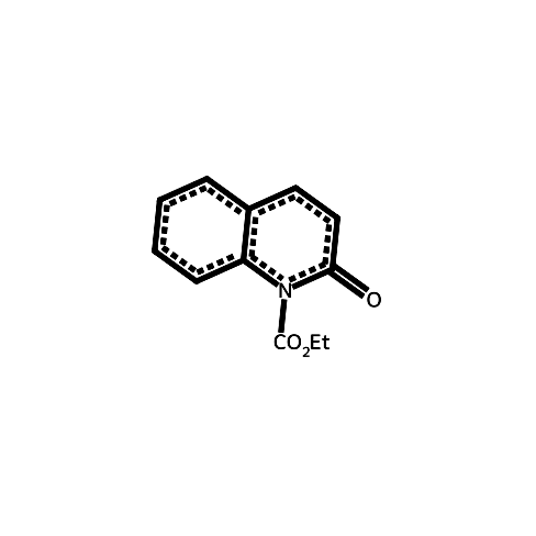 CCOC(=O)n1c(=O)ccc2ccccc21